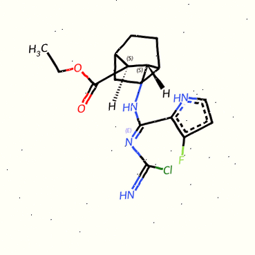 CCOC(=O)[C@H]1C2CCC(CC2)[C@@H]1N/C(=N/C(=N)Cl)c1[nH]ccc1F